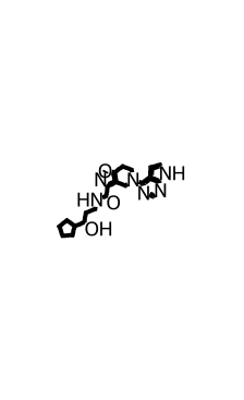 O=C(NCCC(O)C1CCCC1)c1noc2c1CN(c1ncnc3[nH]ccc13)CC2